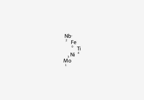 [Fe].[Mo].[Nb].[Ni].[Ti]